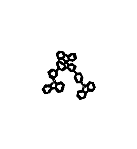 c1cc(-c2ccc(C3(c4ccc(-c5ccc(-n6c7ccccc7c7ccccc76)cc5)cc4)c4ccccc4-c4ccccc43)cc2)cc(-n2c3ccccc3c3ccccc32)c1